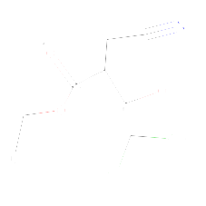 CCOC(=O)C(CO)CC#N.ClCCl